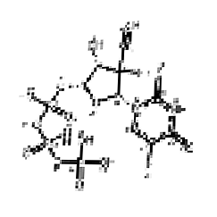 C#CC1(F)[C@@H](O)[C@@H](OP(=O)(O)OP(=O)(O)OP(=O)(O)O)O[C@H]1n1cc(F)c(=S)[nH]c1=S